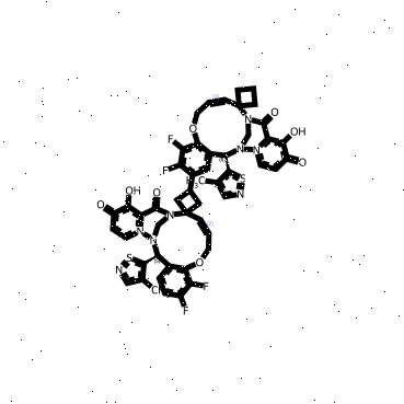 Cc1cnsc1[C@H]1c2cc(C3CC4(/C=C\COc5c(ccc(F)c5F)[C@@H](c5sncc5C)N5CN4C(=O)c4c(O)c(=O)ccn45)C3)c(F)c(F)c2OC/C=C\C2(CCC2)N2CN1n1ccc(=O)c(O)c1C2=O